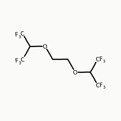 FC(F)(F)C(OCCOC(C(F)(F)F)C(F)(F)F)C(F)(F)F